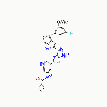 COc1cc(F)cc(-c2cccc3[nH]c(-c4n[nH]c5ccc(-c6cncc(NC(=O)C7CCC7)c6)nc45)cc23)c1